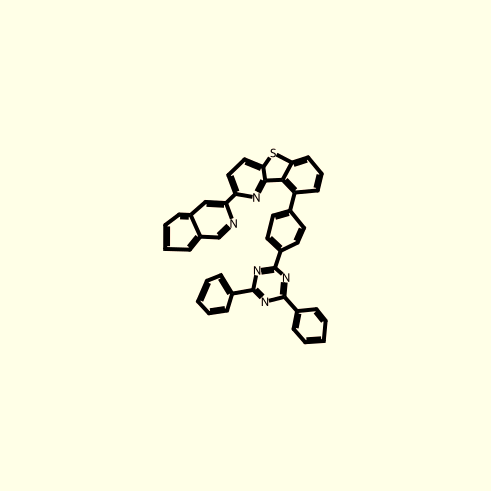 c1ccc(-c2nc(-c3ccccc3)nc(-c3ccc(-c4cccc5sc6ccc(-c7cc8ccccc8cn7)nc6c45)cc3)n2)cc1